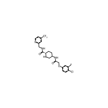 O=C(COc1ccc(Cl)c(F)c1)NC1CC[C@H](C(=O)NCc2cc(C(F)(F)F)ccn2)NC1